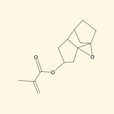 C=C(C)C(=O)OC1CC2C3CCC4(C3)OC24C1